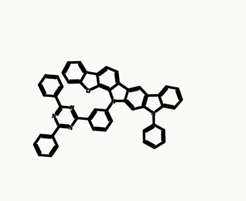 c1ccc(-c2nc(-c3ccccc3)nc(-c3cccc(-n4c5cc6c(cc5c5ccc7c8ccccc8oc7c54)c4ccccc4n6-c4ccccc4)c3)n2)cc1